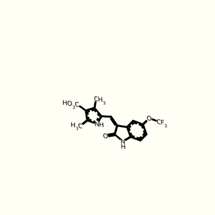 Cc1[nH]c(C=C2C(=O)Nc3ccc(OC(F)(F)F)cc32)c(C)c1C(=O)O